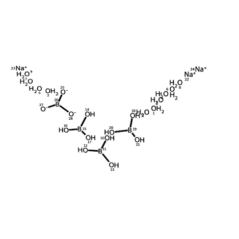 O.O.O.O.O.O.O.O.O.O.OB(O)O.OB(O)O.OB(O)O.[Na+].[Na+].[Na+].[O-]B([O-])[O-]